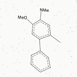 CNc1cc(C)c(-c2ccccc2)cc1OC